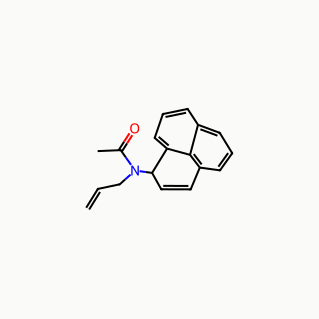 C=CCN(C(C)=O)C1C=Cc2cccc3cccc1c23